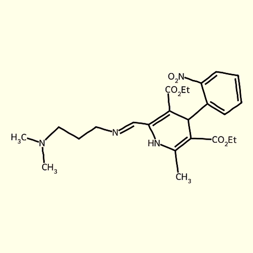 CCOC(=O)C1=C(C)NC(/C=N/CCCN(C)C)=C(C(=O)OCC)C1c1ccccc1[N+](=O)[O-]